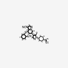 CCN(C)[C@H]1CC[C@@H](n2ncc(-c3cc(Sc4ccccc4C#N)c4c(C#N)cnn4c3)c2C)CC1